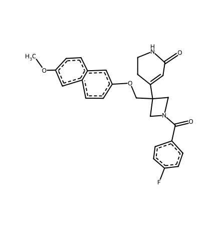 COc1ccc2cc(OCC3(C4=CC(=O)NCC4)CN(C(=O)c4ccc(F)cc4)C3)ccc2c1